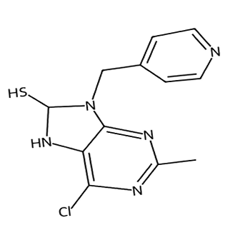 Cc1nc(Cl)c2c(n1)N(Cc1ccncc1)C(S)N2